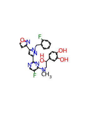 CN(CC(O)c1ccc(O)c(O)c1)c1nc(-c2cc(-c3ccon3)n(Cc3ccccc3F)n2)ncc1F